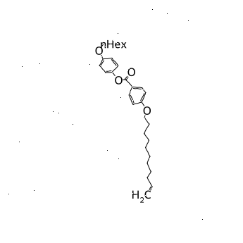 C=CCCCCCCCCCOc1ccc(C(=O)Oc2ccc(OCCCCCC)cc2)cc1